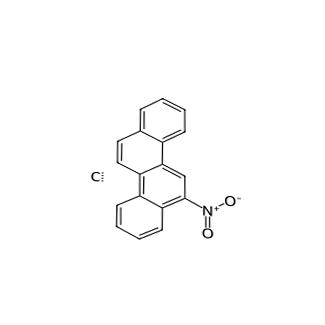 O=[N+]([O-])c1cc2c3ccccc3ccc2c2ccccc12.[C]